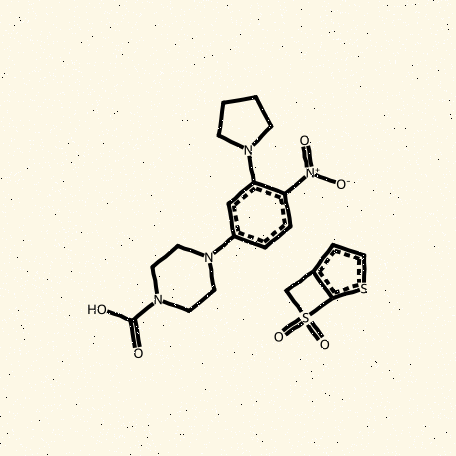 O=C(O)N1CCN(c2ccc([N+](=O)[O-])c(N3CCCC3)c2)CC1.O=S1(=O)Cc2ccsc21